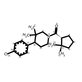 CC1(C)CN(C(=O)[C@@H]2CCC[C@]2(C)N)CCC1c1ccc(Cl)cc1